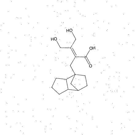 O=C(O)C(CC12CCC(C1)C1CCCC12)=C(CO)CO